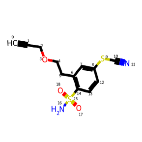 C#CCOCCc1cc(SC#N)ccc1S(N)(=O)=O